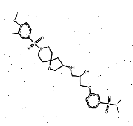 COc1ccc(S(=O)(=O)N2CCC3(CC2)CC(NCC(O)COc2cccc(S(=O)(=O)N(C)C)c2)CO3)cc1C